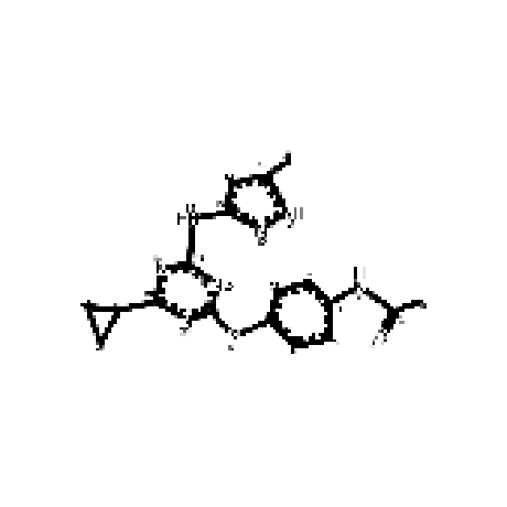 CC(=O)Nc1ccc(Sc2nc(Nc3cc(C)[nH]n3)nc(C3CC3)n2)cc1